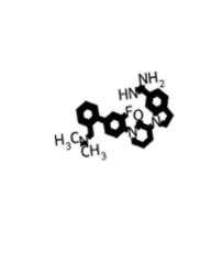 CN(C)Cc1ccccc1-c1ccc(N2CCCC(N3CCc4ccc(C(=N)N)cc43)C2=O)c(F)c1